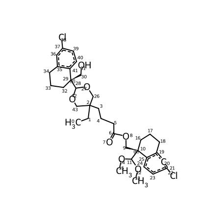 CCC1(CCCC(=O)OC[C@@]2(C(OC)OC)CCCc3cc(Cl)ccc32)COC([C@]2(CO)CCCc3cc(Cl)ccc32)OC1